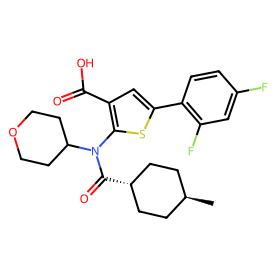 C[C@H]1CC[C@H](C(=O)N(c2sc(-c3ccc(F)cc3F)cc2C(=O)O)C2CCOCC2)CC1